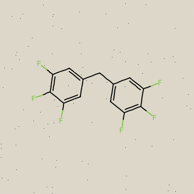 Fc1cc(Cc2cc(F)c(F)c(F)c2)cc(F)c1F